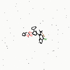 COC(=O)[C@@H](Cc1ccccc1)Oc1ccc(-c2c3ccccc3c(Br)c3sc(C)c(C)c23)cc1C1CCCC1